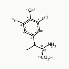 CC(c1cc(F)c(O)c(Cl)c1)[C@@H](N)C(=O)O